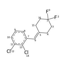 FC1(F)CCC(=Cc2cccc(Cl)c2Cl)CC1